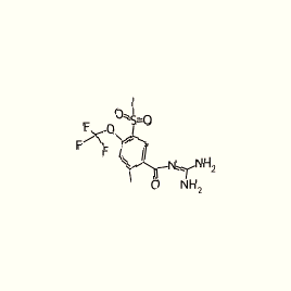 Cc1cc(OC(F)(F)F)c(S(C)(=O)=O)cc1C(=O)N=C(N)N